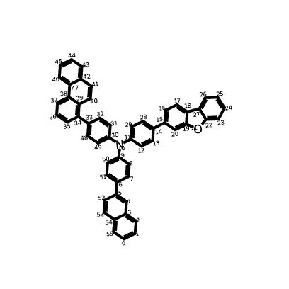 c1ccc2cc(-c3ccc(N(c4ccc(-c5ccc6c(c5)oc5ccccc56)cc4)c4ccc(-c5cccc6c5ccc5ccccc56)cc4)cc3)ccc2c1